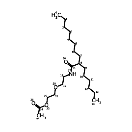 CCCCCCCCC(CCCCCC)C(=O)NCCOCCOC(C)=O